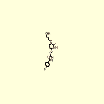 CC1NC(CSc2nnc(-c3ccc(F)cc3)o2)=CC=C1OCCCO